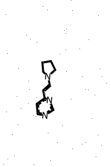 C(=CN1CCCC1)c1ccncn1